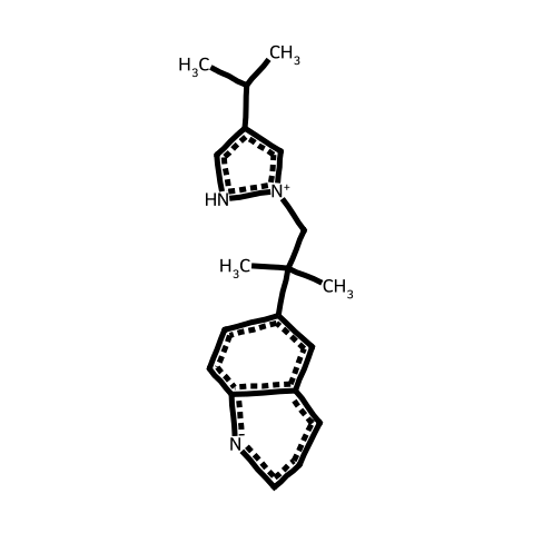 CC(C)c1c[nH][n+](CC(C)(C)c2ccc3ncccc3c2)c1